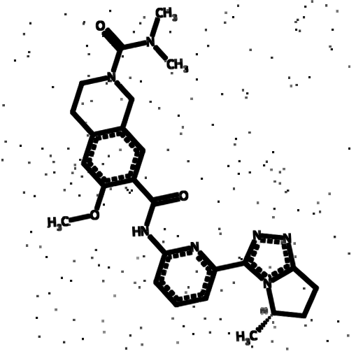 COc1cc2c(cc1C(=O)Nc1cccc(-c3nnc4n3[C@@H](C)CC4)n1)CN(C(=O)N(C)C)CC2